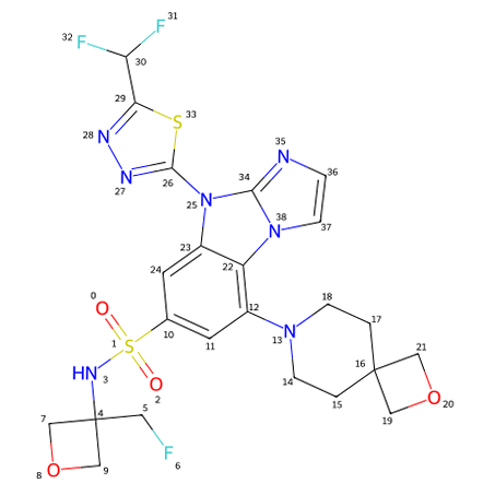 O=S(=O)(NC1(CF)COC1)c1cc(N2CCC3(CC2)COC3)c2c(c1)n(-c1nnc(C(F)F)s1)c1nccn21